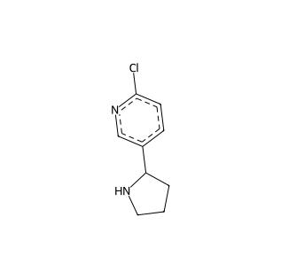 Clc1ccc(C2CCCN2)cn1